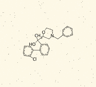 CC(O)(c1ccccc1-c1ccccc1Cl)C1CN(Cc2ccccc2)CCO1